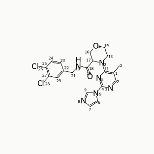 Cc1cnc(-n2ccnc2)nc1N1CCOCC1C(=O)NCc1ccc(Cl)c(Cl)c1